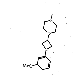 COC1C=C(N2CC(N3CCN(C)CC3)C2)C=CC1